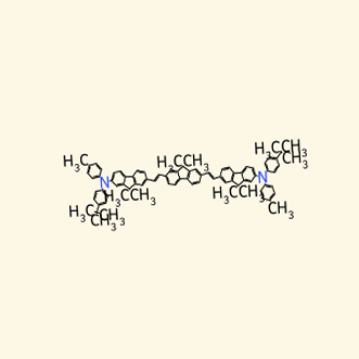 Cc1ccc(N(c2ccc(C(C)(C)C)cc2)c2ccc3c(c2)C(C)(C)c2cc(/C=C/c4ccc5c(c4)C(C)(C)c4cc(/C=C/c6ccc7c(c6)C(C)(C)c6cc(N(c8ccc(C)cc8)c8ccc(C(C)(C)C)cc8)ccc6-7)ccc4-5)ccc2-3)cc1